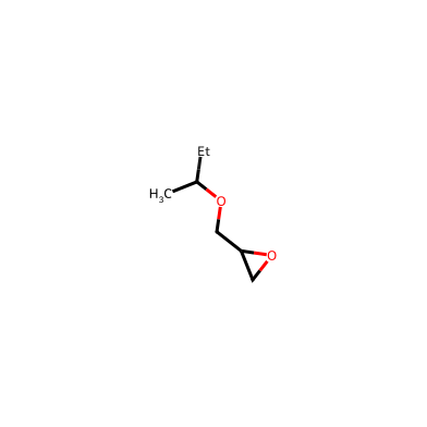 [CH2]CC(C)OCC1CO1